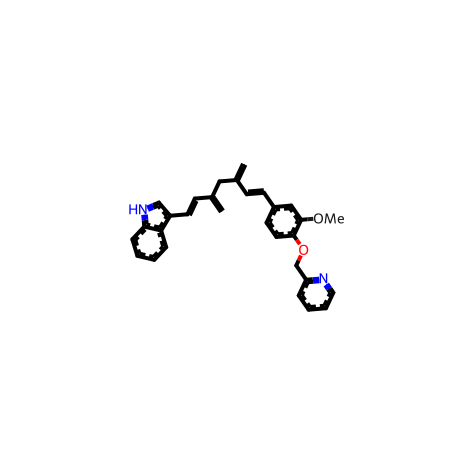 C=C(/C=C/c1ccc(OCc2ccccn2)c(OC)c1)CC(=C)/C=C/c1c[nH]c2ccccc12